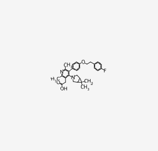 Cc1nc(C)c(-c2ccc(OCCc3ccc(F)cc3)cc2)c(N2CC3C(C2)C3(C)C)c1CC(=O)O